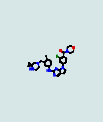 Cc1ccc(Nc2ncc3ccn(-c4ccc(C(=O)N5CCOCC5)c(F)c4)c3n2)cc1CN1CCNC2(CC2)C1